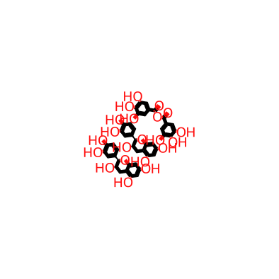 O=C(OC(=O)c1cc(O)c(O)c(O)c1)c1cc(O)c(O)c(O)c1.Oc1cc(O)c2c(c1)O[C@H](c1ccc(O)c(O)c1)[C@@H](O)C2.Oc1cc(O)c2c(c1)O[C@H](c1ccc(O)c(O)c1)[C@@H](O)C2